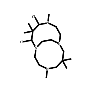 CN1CCN2CCN(CCN(C)C(Cl)C(C)(C)C2Cl)CC(C)(C)C1